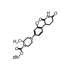 C[C@H]1CN(c2ccc(C3CCC(=O)NC3=O)c(Cl)c2)CCN1C(=O)OC(C)(C)C